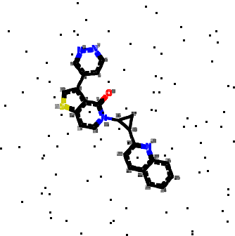 O=c1c2c(-c3ccnnc3)csc2ccn1C1CC1c1ccc2ccccc2n1